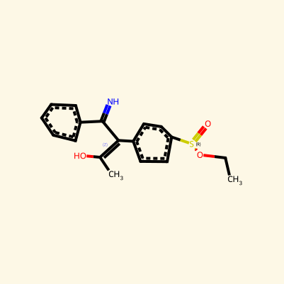 CCO[S@@](=O)c1ccc(/C(C(=N)c2ccccc2)=C(\C)O)cc1